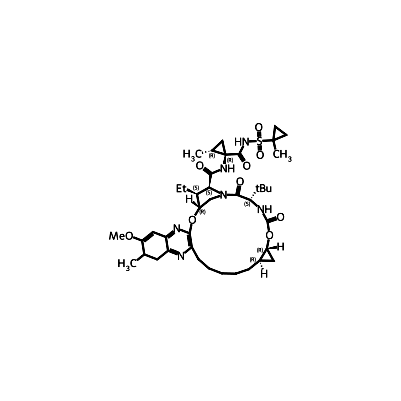 CC[C@@H]1[C@@H]2CN(C(=O)[C@H](C(C)(C)C)NC(=O)O[C@@H]3C[C@H]3CCCCCc3nc4c(nc3O2)C=C(OC)C(C)C4)[C@@H]1C(=O)N[C@]1(C(=O)NS(=O)(=O)C2(C)CC2)C[C@H]1C